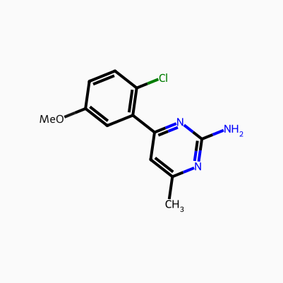 COc1ccc(Cl)c(-c2cc(C)nc(N)n2)c1